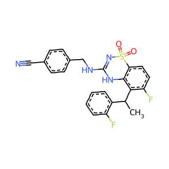 CC(c1ccccc1F)c1c(F)ccc2c1NC(NCc1ccc(C#N)cc1)=NS2(=O)=O